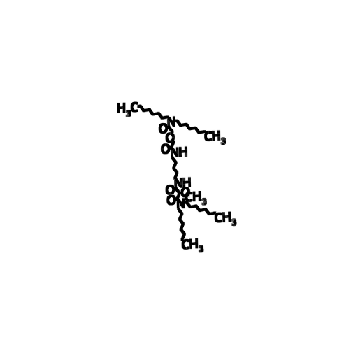 CCCCCCCCN(CCCCCCCC)C(=O)COCC(=O)NCCCCCNC(=O)C(OC)C(=O)N(CCCCCCCC)CCCCCCCC